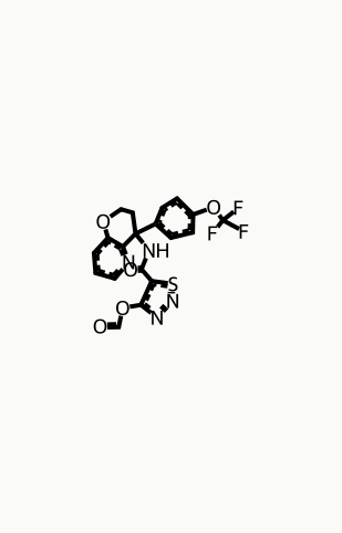 O=COc1nnsc1C(=O)NC1(c2ccc(OC(F)(F)F)cc2)CCOc2cccnc21